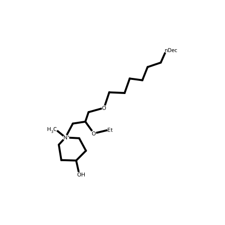 CCCCCCCCCCCCCCCCOCC(C[N+]1(C)CCC(O)CC1)OCC